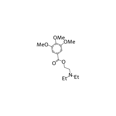 CCN(CC)CCOC(=O)c1cc(OC)c(OC)c(OC)c1